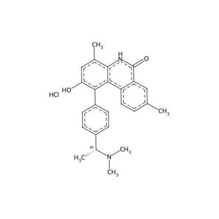 Cc1ccc2c(c1)c(=O)[nH]c1c(C)cc(O)c(-c3ccc([C@@H](C)N(C)C)cc3)c12.Cl